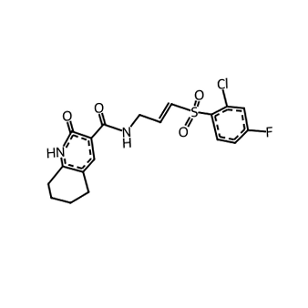 O=C(NC/C=C/S(=O)(=O)c1ccc(F)cc1Cl)c1cc2c([nH]c1=O)CCCC2